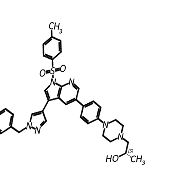 Cc1ccc(S(=O)(=O)n2cc(-c3cnn(Cc4cccc(F)c4)c3)c3cc(-c4ccc(N5CCN(C[C@H](C)O)CC5)cc4)cnc32)cc1